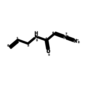 C=CCNC(=O)C=[N+]=[N-]